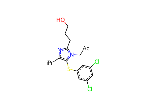 CC(=O)Cn1c(CCCO)nc(C(C)C)c1Sc1cc(Cl)cc(Cl)c1